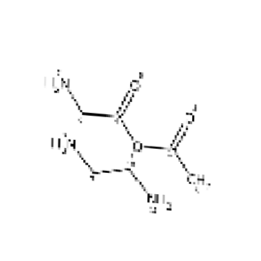 CC(=O)OC(=O)CN.NCCN